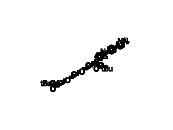 CN(C)c1ccc(-c2ccc(-c3nc4ccc(N(CCOCCOCCOCCOCCOCC(=O)OC(C)(C)C)C(=O)OC(C)(C)C)cc4s3)cc2)cn1